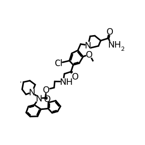 COc1cc(C(=O)CNCCOC(=O)N(c2ccccc2-c2ccccc2)N2CC[CH]CC2)c(Cl)cc1CN1CCC(C(N)=O)CC1